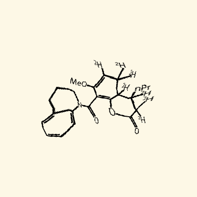 [2H]C1=C(OC)C(C(=O)N2CCCc3ccccc32)=C2OC(=O)C([2H])([2H])C([2H])(CCC)C2([2H])C1([2H])[2H]